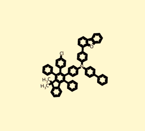 CC1(C)c2ccccc2-c2c(-c3ccccc3)c(-c3ccc(N(c4ccc(-c5ccccc5)cc4)c4ccc(-c5cccc6c5oc5ccccc56)cc4)cc3)c(-c3ccc(Cl)cc3)c(-c3ccccc3)c21